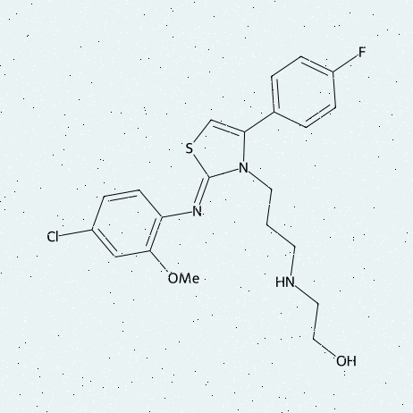 COc1cc(Cl)ccc1N=c1scc(-c2ccc(F)cc2)n1CCCNCCO